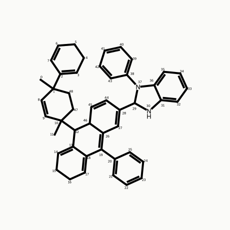 CC1(C2=CCCC=C2)C=CC(C)(C2C3=CCCC=C3C(c3ccccc3)=C3C=C(C4Nc5ccccc5N4c4ccccc4)C=CC32)CC1